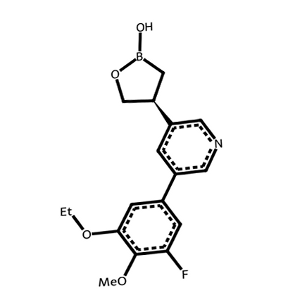 CCOc1cc(-c2cncc([C@H]3COB(O)C3)c2)cc(F)c1OC